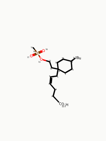 CC(C)(C)C1CCC(C/C=C\CCC(=O)O)(CCOS(C)(=O)=O)CC1